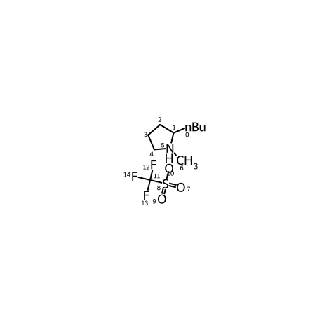 CCCCC1CCCN1C.O=S(=O)(O)C(F)(F)F